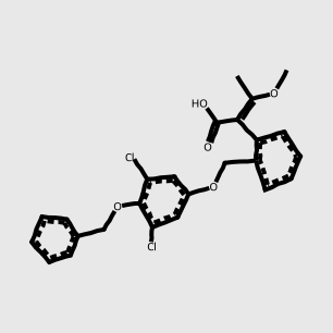 COC(C)=C(C(=O)O)c1ccccc1COc1cc(Cl)c(OCc2ccccc2)c(Cl)c1